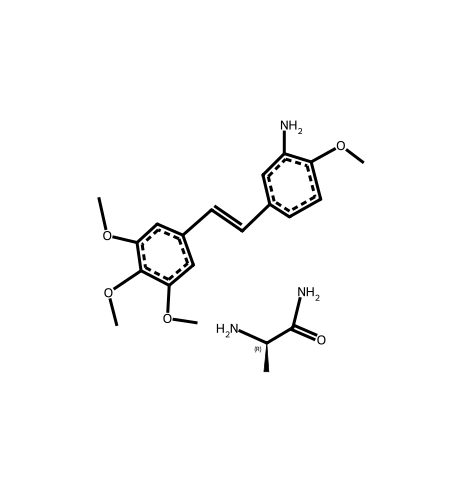 COc1ccc(C=Cc2cc(OC)c(OC)c(OC)c2)cc1N.C[C@@H](N)C(N)=O